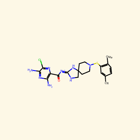 COc1ccc(C#N)cc1SN1CCC2(CC1)CN/C(=N\C(=O)c1nc(Cl)c(N)nc1N)N2